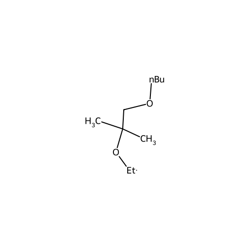 C[CH]OC(C)(C)COCCCC